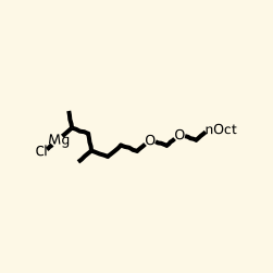 CCCCCCCCCOCOCCCC(C)C[CH](C)[Mg][Cl]